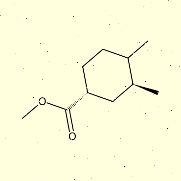 COC(=O)[C@@H]1CCC(C)[C@@H](C)C1